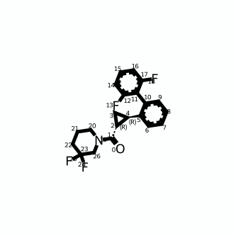 O=C([C@@H]1C[C@H]1c1ccccc1-c1c(F)cccc1F)N1CCCC(F)(F)C1